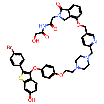 O=C(CO)NC(=O)CN1Cc2c(OCc3ccc(CN4CCN(CCOc5ccc(Oc6c(-c7ccc(Br)cc7)sc7cc(O)ccc67)cc5)CC4)nc3)cccc2C1=O